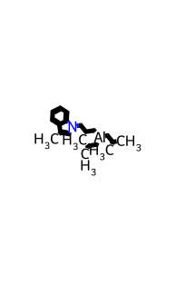 Cc1cn(CC[CH2][Al]([CH2]C(C)C)[CH2]C(C)C)c2ccccc12